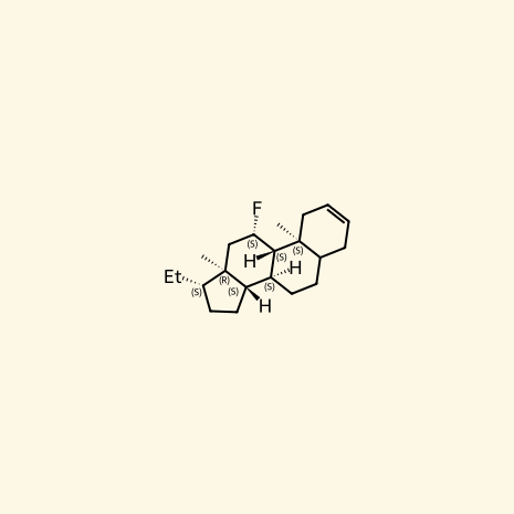 CC[C@H]1CC[C@H]2[C@@H]3CCC4CC=CC[C@]4(C)[C@H]3[C@@H](F)C[C@]12C